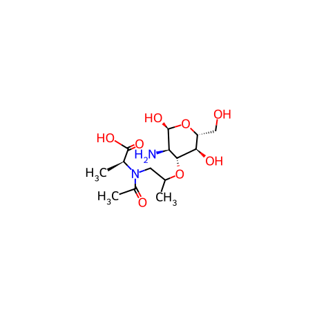 CC(=O)N(CC(C)O[C@@H]1[C@@H](N)[C@@H](O)O[C@H](CO)[C@H]1O)[C@@H](C)C(=O)O